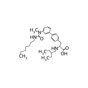 CCCCCCCNC(=O)N(C)c1cccc(-c2ccc(CC(NCC(CC)CC)C(=O)O)cc2)c1